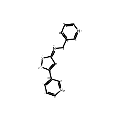 c1cncc(CN=c2cc(-c3cccnc3)ss2)c1